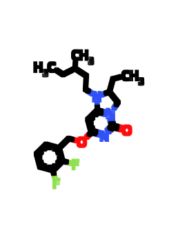 CCC(C)CCN1c2cc(OCc3cccc(F)c3F)nc(=O)n2CC1CC